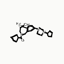 CC1(C)CCN(C(=O)C2CCCC2)Cc2cc(N3CCN(C4CCCC4)CC3)ccc21